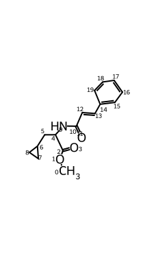 COC(=O)C(CC1CC1)NC(=O)/C=C/c1ccccc1